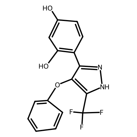 Oc1ccc(-c2n[nH]c(C(F)(F)F)c2Oc2ccccc2)c(O)c1